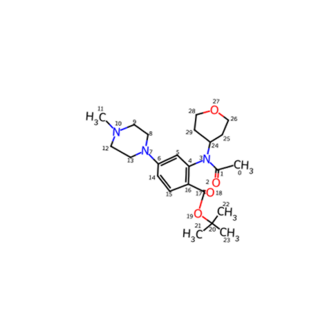 CC(=O)N(c1cc(N2CCN(C)CC2)ccc1C(=O)OC(C)(C)C)C1CCOCC1